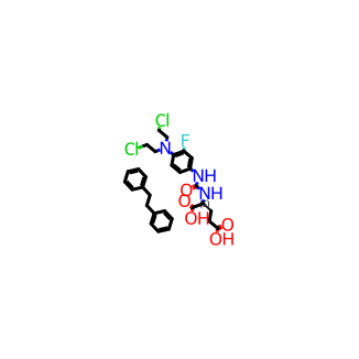 O=C(O)CC[C@H](NC(=O)Nc1ccc(N(CCCl)CCCl)c(F)c1)C(=O)O.c1ccc(CCc2ccccc2)cc1